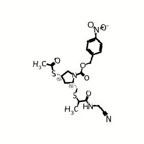 CC(=O)S[C@H]1C[C@@H](CSC(C)C(=O)NCC#N)N(C(=O)OCc2ccc([N+](=O)[O-])cc2)C1